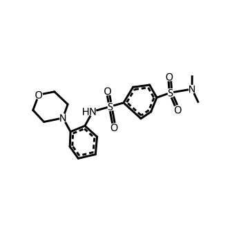 CN(C)S(=O)(=O)c1ccc(S(=O)(=O)Nc2ccccc2N2CCOCC2)cc1